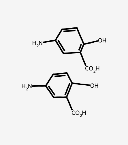 Nc1ccc(O)c(C(=O)O)c1.Nc1ccc(O)c(C(=O)O)c1